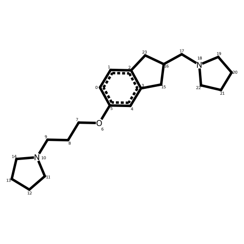 c1cc2c(cc1OCCCN1CCCC1)CC(CN1CCCC1)C2